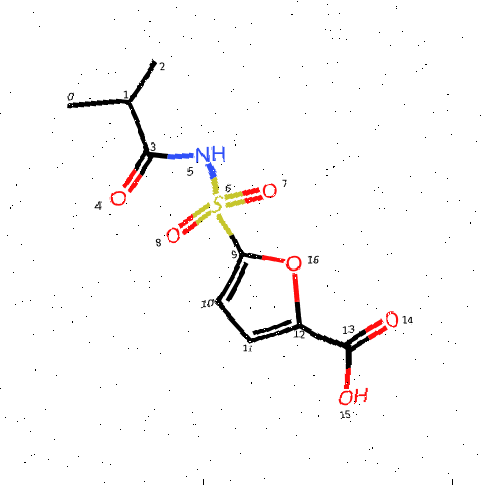 CC(C)C(=O)NS(=O)(=O)c1ccc(C(=O)O)o1